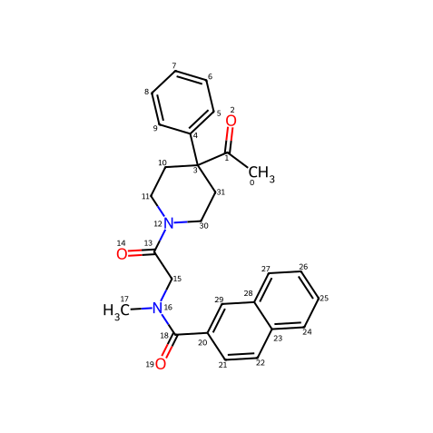 CC(=O)C1(c2ccccc2)CCN(C(=O)CN(C)C(=O)c2ccc3ccccc3c2)CC1